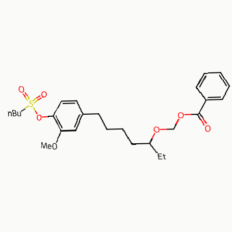 CCCCS(=O)(=O)Oc1ccc(CCCCC(CC)OCOC(=O)c2ccccc2)cc1OC